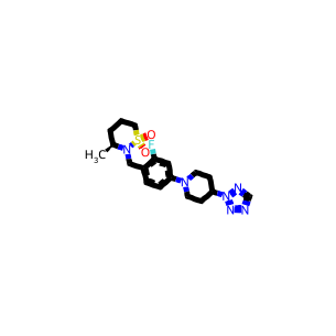 C[C@H]1CCCS(=O)(=O)N1Cc1ccc(N2CCC(n3ncnn3)CC2)cc1F